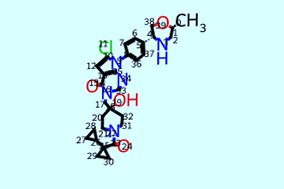 C[C@H]1CN[C@H](c2ccc(-n3c(Cl)cc4c(=O)n(CC5(O)CCN(C(=O)C6(C7CC7)CC6)CC5)cnc43)cc2)CO1